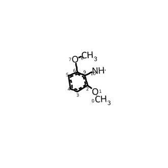 COc1cccc(OC)c1[NH]